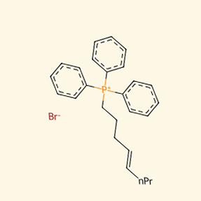 CCCC=CCCC[P+](c1ccccc1)(c1ccccc1)c1ccccc1.[Br-]